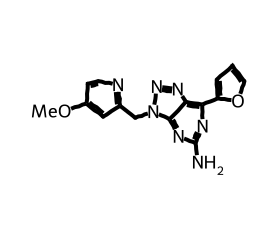 COc1ccnc(Cn2nnc3c(-c4ccco4)nc(N)nc32)c1